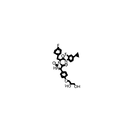 O=C(Nc1ccc(C2CC2)cc1F)C(Cc1ccc(F)cc1)N1C(=O)NC(c2ccc(OCC(O)CO)cc2)C1=O